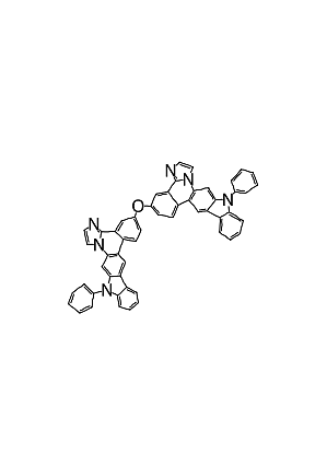 c1ccc(-n2c3ccccc3c3cc4c5ccc(Oc6ccc7c8cc9c%10ccccc%10n(-c%10ccccc%10)c9cc8n8ccnc8c7c6)cc5c5nccn5c4cc32)cc1